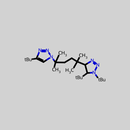 CC(C)(C)c1cn(C(C)(C)CCC(C)(C)C2N=NN(C(C)(C)C)C2C(C)(C)C)nn1